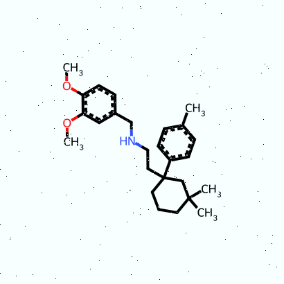 COc1ccc(CNCCC2(c3ccc(C)cc3)CCCC(C)(C)C2)cc1OC